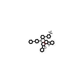 CS(C)(C)c1cccc(-c2cccc(N(c3ccc(-c4ccccc4)cc3)c3ccc4oc5ccccc5c4c3)c2-c2ccc3sc4ccccc4c3c2)c1